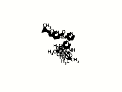 CC1CC1c1cc2ccc(C(=O)Nc3cnccc3N3C[C@H](C)C(O[Si](C)(C)C(C)(C)C)[C@H](NC(=O)OC(C)(C)C)C3)nc2o1